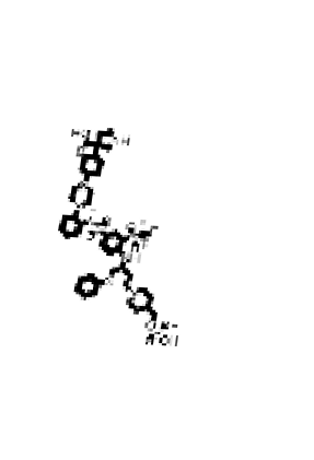 O=C(O)C1(c2ccc(N3CCN(c4ccccc4NS(=O)(=O)c4ccc(NC(CCN5CCC(COP(=O)(O)O)CC5)CSc5ccccc5)c(S(=O)(=O)C(F)(F)F)c4)CC3)cc2)C=CNC1